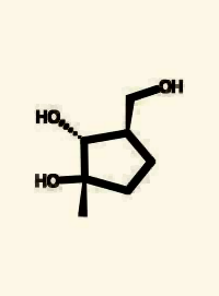 C[C@]1(O)CC[C@H](CO)[C@H]1O